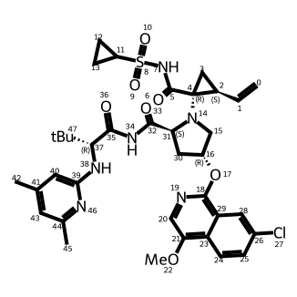 C=C[C@@H]1C[C@@]1(C(=O)NS(=O)(=O)C1CC1)N1C[C@H](Oc2ncc(OC)c3ccc(Cl)cc23)C[C@H]1C(=O)NC(=O)[C@H](Nc1cc(C)cc(C)n1)C(C)(C)C